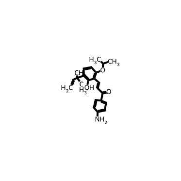 C=CC(C)(C)c1ccc(OC(C)C)c(C=CC(=O)c2ccc(N)cc2)c1O